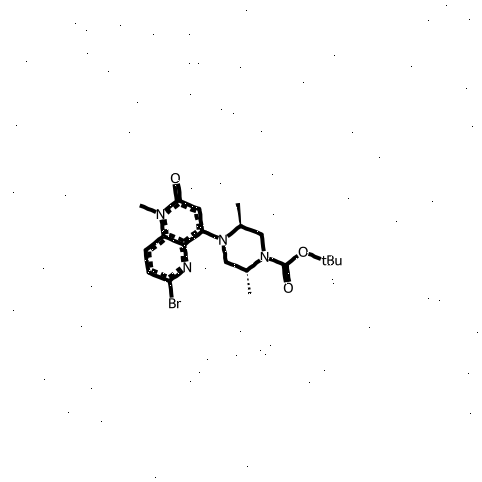 C[C@@H]1CN(c2cc(=O)n(C)c3ccc(Br)nc23)[C@@H](C)CN1C(=O)OC(C)(C)C